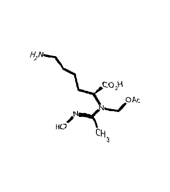 CC(=O)OCN(/C(C)=N/O)[C@@H](CCCCN)C(=O)O